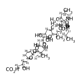 C=C(C[C@]12C[C@H](C)C[C@H](O1)[C@@H]1O[C@@]3(C[C@@H]1O2)NC[C@@H](C)C[C@H]3C)[C@H]1O[C@@](O)([C@@H](O)[C@H]2C[C@@H]3O[C@@]4(CC[C@]5(C=CC[C@@H](/C=C/[C@H](O)CC(=O)O)O5)O4)[C@@H](C)C[C@@H]3O2)CC[C@@H]1C